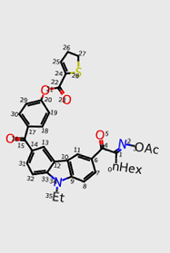 CCCCCC/C(=N\OC(C)=O)C(=O)c1ccc2c(c1)c1cc(C(=O)c3ccc(OC(=O)C4=CCCS4)cc3)ccc1n2CC